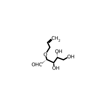 C=CCO[C@@H](C=O)[C@H](O)[C@H](O)CO